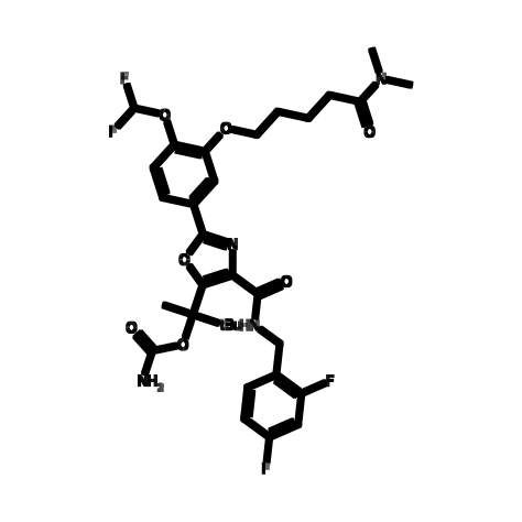 CN(C)C(=O)CCCCOc1cc(-c2nc(C(=O)NCc3ccc(F)cc3F)c(C(C)(OC(N)=O)C(C)(C)C)o2)ccc1OC(F)F